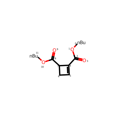 CCCCOC(=O)C1=CCC1C(=O)OCCCC